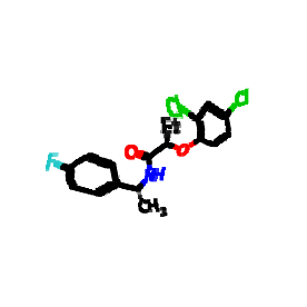 CC[C@@H](Oc1ccc(Cl)cc1Cl)C(=O)N[C@H](C)c1ccc(F)cc1